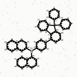 c1ccc(C2(c3ccccc3)c3ccccc3-c3c(-c4ccc(N(c5ccc6ccccc6c5)c5cccc6ccccc56)cc4)cccc32)cc1